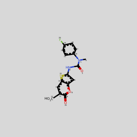 CN(C(=O)Nc1cc2oc(=O)c(C(=O)O)cc2s1)c1ccc(F)cc1